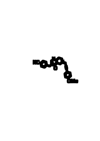 COc1ccc(C#CCN2CCc3ncn(Cc4ccc(C#N)cc4)c(=O)c3C2)cc1